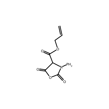 C=CCOC(=O)C1C(=O)OC(=O)N1P